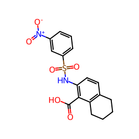 O=C(O)c1c(NS(=O)(=O)c2cccc([N+](=O)[O-])c2)ccc2c1CCCC2